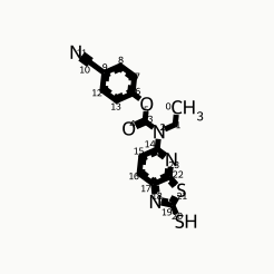 CCN(C(=O)Oc1ccc(C#N)cc1)c1ccc2nc(S)sc2n1